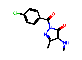 CNC1C(=O)N(C(=O)c2ccc(Cl)cc2)N=C1C